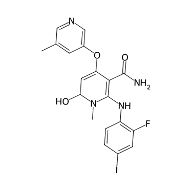 Cc1cncc(OC2=CC(O)N(C)C(Nc3ccc(I)cc3F)=C2C(N)=O)c1